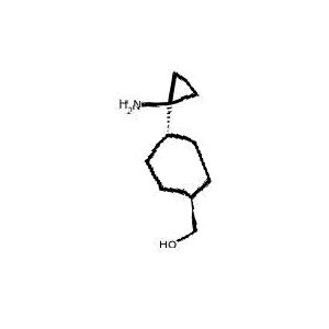 NC1([C@H]2CC[C@H](CO)CC2)CC1